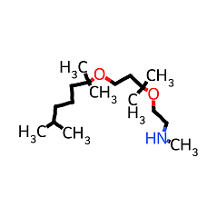 CNCCOC(C)(C)CCOC(C)(C)CCCC(C)C